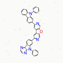 c1ccc(-n2c3ccccc3c3ccc(-c4cc5c(cn4)oc4cnc(-c6ccc7c8nccnc8n(-c8ccccc8)c7c6)cc45)cc32)cc1